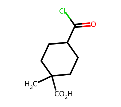 CC1(C(=O)O)CCC(C(=O)Cl)CC1